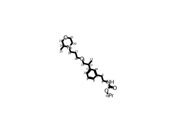 CC(C)OC(=O)NCCc1cccc(C(C)COCCCN2CCOCC2C)c1